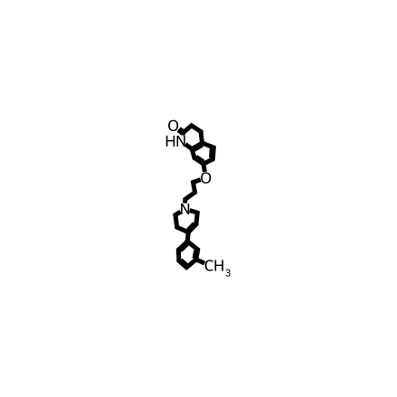 Cc1cccc(C2=CCN(CCCOc3ccc4c(c3)NC(=O)CC4)CC2)c1